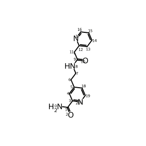 NC(=O)c1cc(CCNC(=O)[CH]c2ccccn2)ccn1